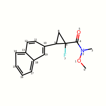 CON(C)C(=O)C1(F)CC1c1ccc2ccccc2c1